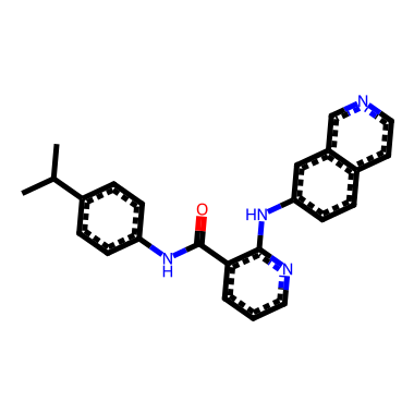 CC(C)c1ccc(NC(=O)c2cccnc2Nc2ccc3ccncc3c2)cc1